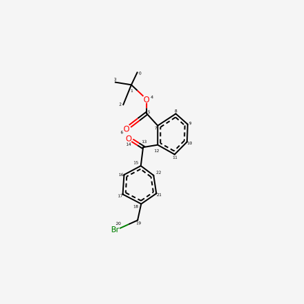 CC(C)(C)OC(=O)c1ccccc1C(=O)c1ccc(CBr)cc1